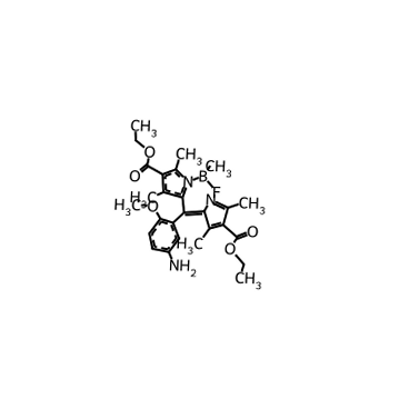 CCOC(=O)C1=C(C)/C(=C(\c2cc(N)ccc2OC)c2c(C)c(C(=O)OCC)c(C)n2B(C)F)N=C1C